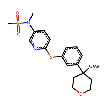 COC1(c2cccc(Sc3ccc(N(C)S(C)(=O)=O)cn3)c2)CCOCC1